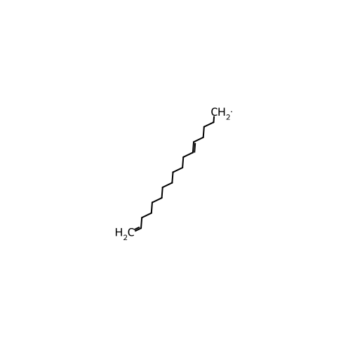 [CH2]CCCC=CCCCCCCCCCC=C